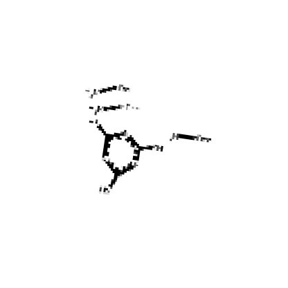 CCCCCCCCCCN.CCCCCCCCCCN.CCCCCCCCCCN.Sc1nc(S)nc(S)n1